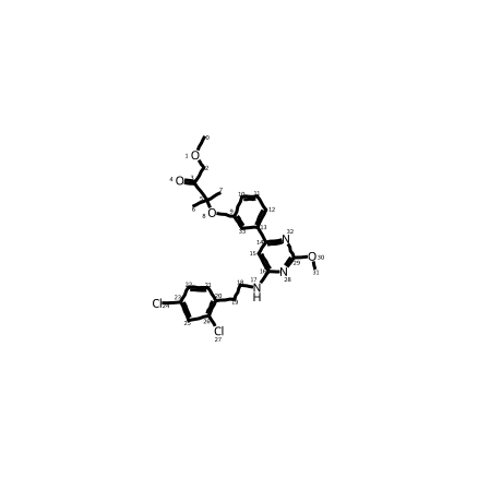 COCC(=O)C(C)(C)Oc1cccc(-c2cc(NCCc3ccc(Cl)cc3Cl)nc(OC)n2)c1